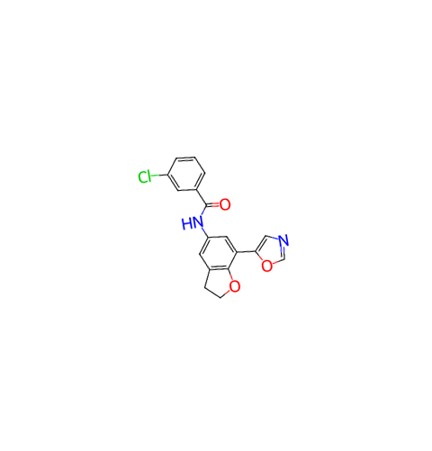 O=C(Nc1cc2c(c(-c3cnco3)c1)OCC2)c1cccc(Cl)c1